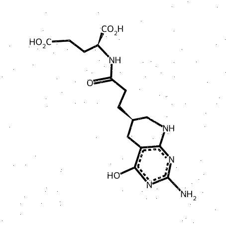 Nc1nc(O)c2c(n1)NC[C@H](CCC(=O)N[C@@H](CCC(=O)O)C(=O)O)C2